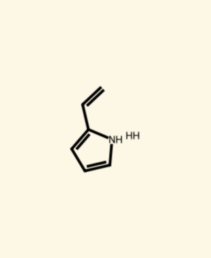 C=Cc1ccc[nH]1.[HH]